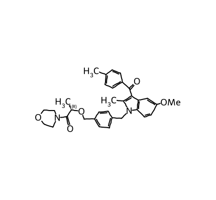 COc1ccc2c(c1)c(C(=O)c1ccc(C)cc1)c(C)n2Cc1ccc(CO[C@H](C)C(=O)N2CCOCC2)cc1